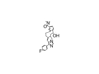 CN(C)C(=O)c1ccc([C@@](C)(O)[C@H]2CCCC3=Cc4c(-c5ccc(F)cc5)ncn4C[C@@]32C)s1